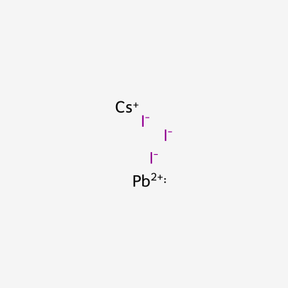 [Cs+].[I-].[I-].[I-].[Pb+2]